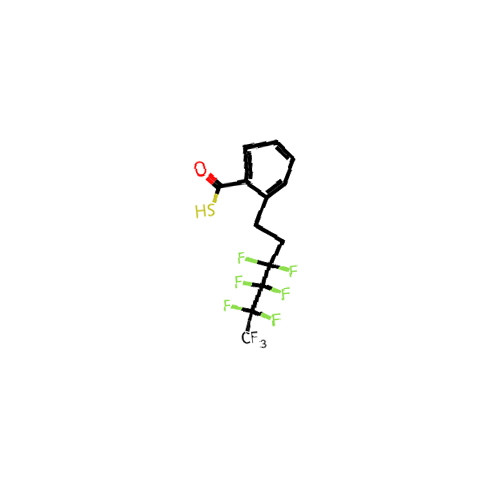 O=C(S)c1ccccc1CCC(F)(F)C(F)(F)C(F)(F)C(F)(F)F